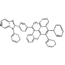 C/C(=C(/c1ccccc1)c1c(C)c(C2=CC=CCC2)c(C2C=CC=CC2)c2ccccc12)c1ccc(-c2nc3ccccc3n2C2=CC=CCC2)cc1